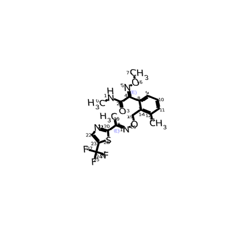 CNC(=O)/C(=N/OC)c1cccc(C)c1CO/N=C(\C)c1ncc(C(F)(F)F)s1